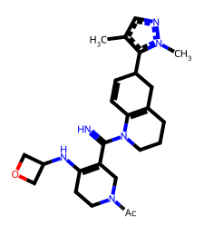 CC(=O)N1CCC(NC2COC2)=C(C(=N)N2CCCC3=C2C=CC(c2c(C)cnn2C)C3)C1